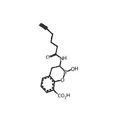 C#CCCCC(=O)NC1Cc2cccc(C(=O)O)c2OB1O